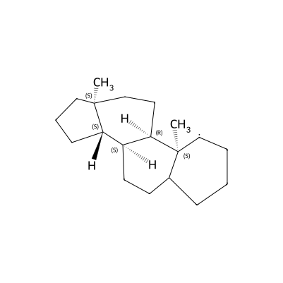 C[C@@]12CCC[C@H]1[C@@H]1CCC3CCC[CH][C@]3(C)[C@@H]1CC2